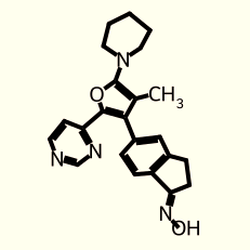 Cc1c(N2CCCCC2)oc(-c2ccncn2)c1-c1ccc2c(c1)CCC2=NO